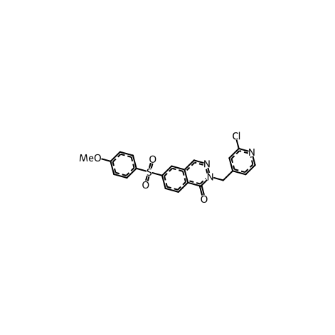 COc1ccc(S(=O)(=O)c2ccc3c(=O)n(Cc4ccnc(Cl)c4)ncc3c2)cc1